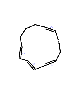 [CH]1/C=C/C=C/C=C\CC/C=C\CC1